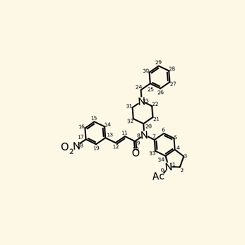 CC(=O)N1CCc2ccc(N(C(=O)/C=C/c3cccc([N+](=O)[O-])c3)C3CCN(Cc4ccccc4)CC3)cc21